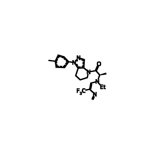 C=N/C(=C\N(CC)[C@H](C)C(=O)N1CCCc2c1cnn2-c1ccc(C)cc1)C(F)(F)F